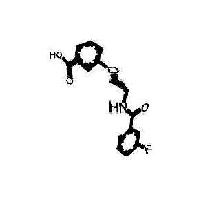 O=C(O)c1cccc(OCCNC(=O)c2cccc(F)c2)c1